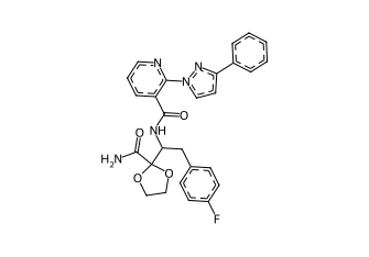 NC(=O)C1(C(Cc2ccc(F)cc2)NC(=O)c2cccnc2-n2ccc(-c3ccccc3)n2)OCCO1